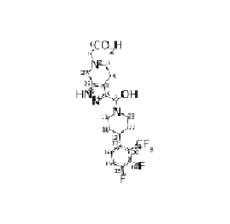 O=C(O)CN1CCc2c(C(O)N3CCC(c4ccc(F)c(F)c4C(F)(F)F)CC3)n[nH]c2C1